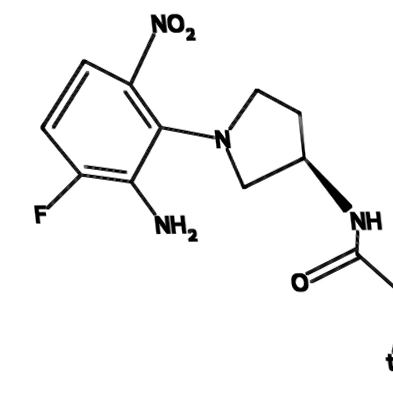 CC(C)(C)OC(=O)N[C@@H]1CCN(c2c([N+](=O)[O-])ccc(F)c2N)C1